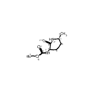 C[C@H]1CCC(NC(=O)OC(C)(C)C)C(=O)N1